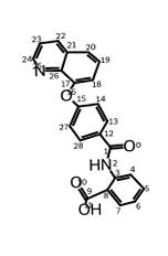 O=C(Nc1ccccc1C(=O)O)c1ccc(Oc2cccc3cccnc23)cc1